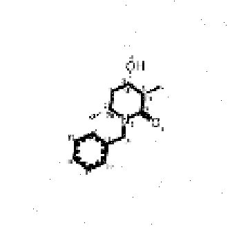 C[C@@H]1C[C@H](O)[C@@H](C)C(=O)N1Cc1ccccc1